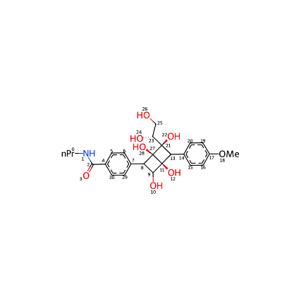 CCCNC(=O)c1ccc(C2C(O)[C@@]3(O)C(c4ccc(OC)cc4)[C@@](O)([C@H](O)CO)[C@@]23O)cc1